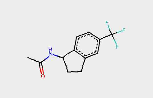 CC(=O)NC1CCc2cc(C(F)(F)F)ccc21